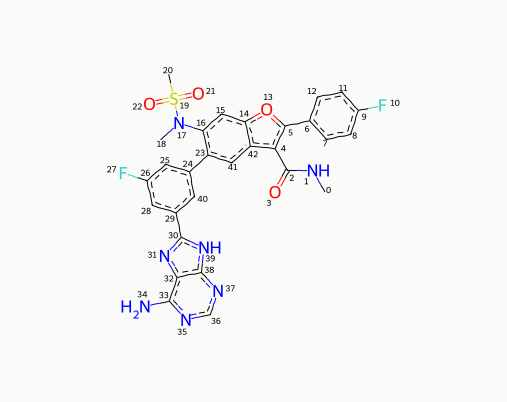 CNC(=O)c1c(-c2ccc(F)cc2)oc2cc(N(C)S(C)(=O)=O)c(-c3cc(F)cc(-c4nc5c(N)ncnc5[nH]4)c3)cc12